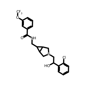 O=C(NCC1C2CN(CC(O)c3ccccc3Cl)CC12)c1cccc(OC(F)(F)F)c1